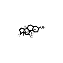 C[C@]12CCC(O)CC1CC[C@@H]1[C@H]2C(Cl)C[C@]2(C)C(=O)CC[C@@H]12